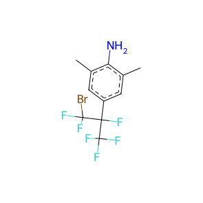 Cc1cc(C(F)(C(F)(F)F)C(F)(F)Br)cc(C)c1N